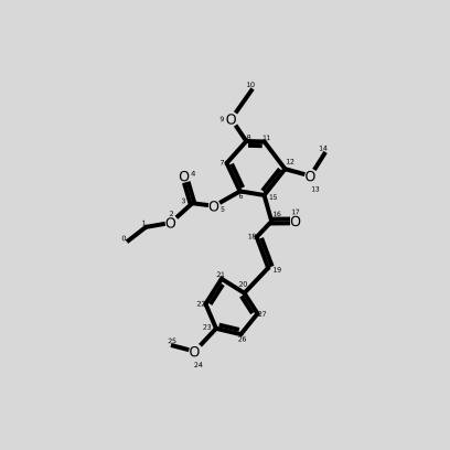 CCOC(=O)Oc1cc(OC)cc(OC)c1C(=O)/C=C/c1ccc(OC)cc1